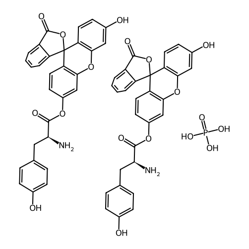 N[C@@H](Cc1ccc(O)cc1)C(=O)Oc1ccc2c(c1)Oc1cc(O)ccc1C21OC(=O)c2ccccc21.N[C@@H](Cc1ccc(O)cc1)C(=O)Oc1ccc2c(c1)Oc1cc(O)ccc1C21OC(=O)c2ccccc21.O=P(O)(O)O